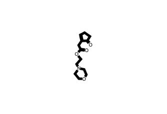 O=C(CC1=CCCC1=O)OCCN1CCOCC1